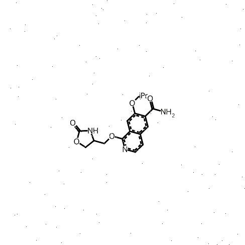 CC(C)Oc1cc2c(OCC3COC(=O)N3)nccc2cc1C(N)=O